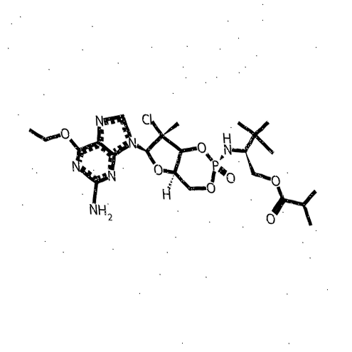 CCOc1nc(N)nc2c1ncn2[C@@H]1O[C@@H]2CO[P@@](=O)(N[C@H](COC(=O)C(C)C)C(C)(C)C)OC2[C@@]1(C)Cl